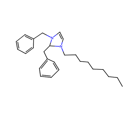 CCCCCCCCCN1C=CN(Cc2ccccc2)C1Cc1ccccc1